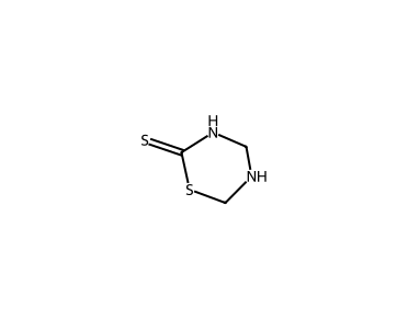 S=C1NCNCS1